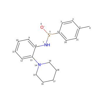 Cc1ccc([S+]([O-])Nc2ccccc2N2CCCCC2)cc1